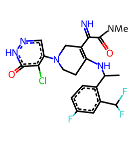 CNC(=O)C(=N)C1=C(NC(C)c2ccc(F)cc2C(F)F)CCN(c2cn[nH]c(=O)c2Cl)C1